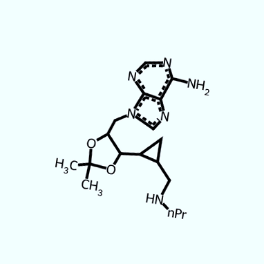 CCCNCC1CC1C1OC(C)(C)OC1Cn1cnc2c(N)ncnc21